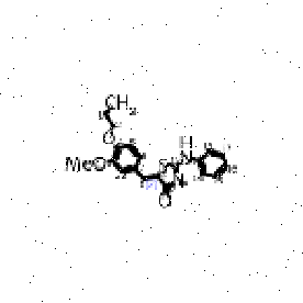 C=CCOc1ccc(/C=C2\SC(Nc3ccccc3)=NC2=O)cc1OC